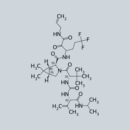 C=CCNC(=O)C(=O)C(CCC(F)(F)F)NC(=O)[C@@H]1[C@@H]2[C@H](CN1C(=O)[C@@H](NC(=O)N[C@@H](C(=C)C)C(=O)NC(C)C)C(C)(C)C)C2(C)C